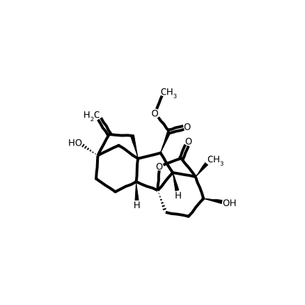 C=C1C[C@]23C[C@@]1(O)CC[C@H]2[C@@]12CC[C@H](O)[C@@](C)(C(=O)O1)[C@H]2[C@@H]3C(=O)OC